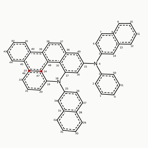 c1ccc(N(c2ccc3ccccc3c2)c2cc(N(c3ccccc3)c3ccc4ccccc4c3)c3c(ccc4c5ccccc5ccc43)c2)cc1